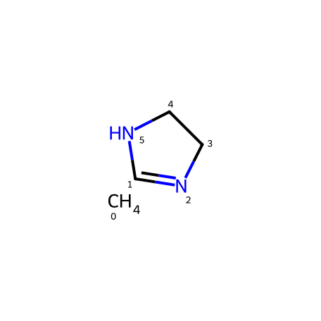 C.C1=NCCN1